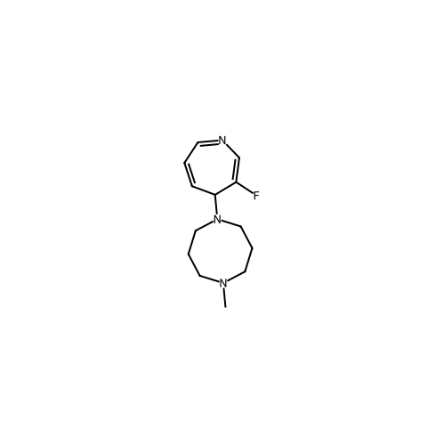 CN1CCCN(C2C=CC=NC=C2F)CCC1